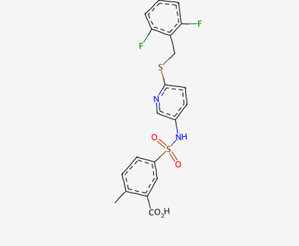 Cc1ccc(S(=O)(=O)Nc2ccc(SCc3c(F)cccc3F)nc2)cc1C(=O)O